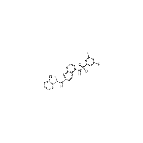 O=S(=O)(Nc1cccc2nc(NC3COc4ccccc43)ccc12)c1cc(F)cc(F)c1